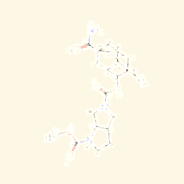 CC(C)(C)OC(=O)N1CCC2CN(C(=O)OC3C4CC5C[C@H]3C[C@@](C(N)=O)(C5)C4)CC21